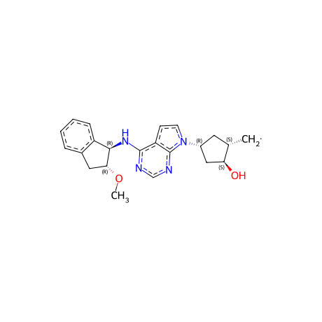 [CH2][C@H]1C[C@@H](n2ccc3c(N[C@@H]4c5ccccc5C[C@H]4OC)ncnc32)C[C@@H]1O